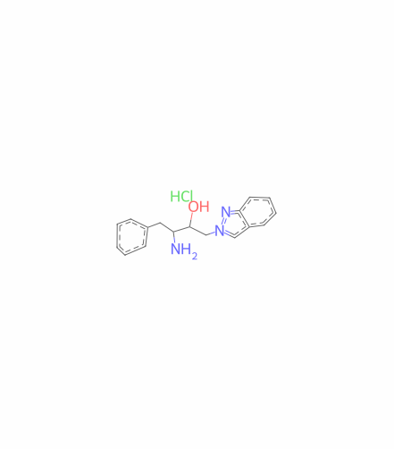 Cl.NC(Cc1ccccc1)C(O)Cn1cc2ccccc2n1